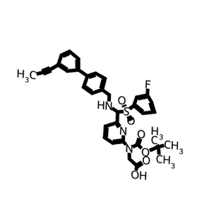 CC#Cc1cccc(-c2ccc(CNC(c3cccc(N(CC(=O)O)C(=O)OC(C)(C)C)n3)S(=O)(=O)c3cccc(F)c3)cc2)c1